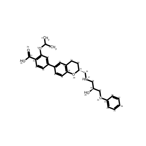 CC(C)Oc1cc(-c2ccc3c(c2)CC[C@H](CNC[C@H](O)COc2ccccc2)O3)ccc1C(=O)O